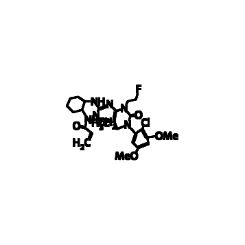 C=CC(=O)NC1CCCCC1N/C(N=C)=N/C1=C(C)CN(c2cc(OC)cc(OC)c2Cl)C(=O)N1CCF